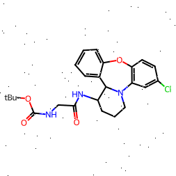 CC(C)(C)OC(=O)NCC(=O)NC1CCCN2c3cc(Cl)ccc3Oc3ccccc3C12